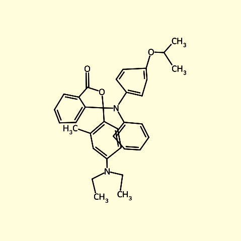 CCN(CC)c1ccc(C2(N(c3ccccc3)c3ccc(OC(C)C)cc3)OC(=O)c3ccccc32)c(C)c1